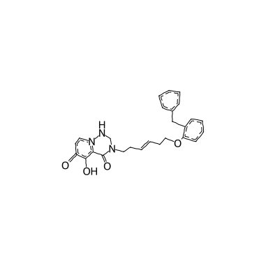 O=C1c2c(O)c(=O)ccn2NCN1CC/C=C/CCOc1ccccc1Cc1ccccc1